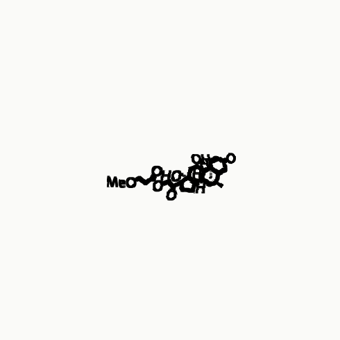 COCCC(=O)OCC(=O)[C@@]1(O)CC[C@H]2[C@@H]3C[C@H](C)C4=CC(=O)C=C[C@]4(C)[C@H]3[C@@H](O)C[C@@]21C